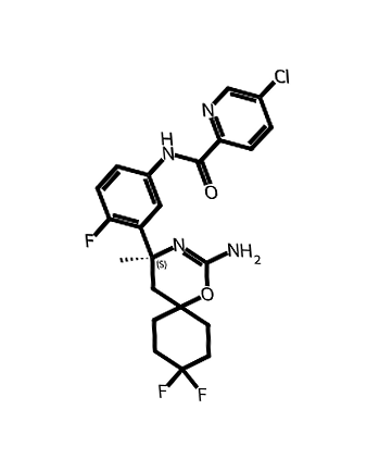 C[C@@]1(c2cc(NC(=O)c3ccc(Cl)cn3)ccc2F)CC2(CCC(F)(F)CC2)OC(N)=N1